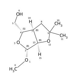 CO[C@@H]1O[C@H](CO)[C@H]2CC(C)(C)O[C@@H]12